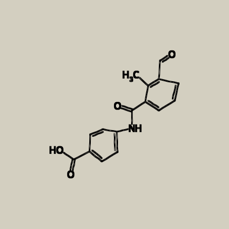 Cc1c(C=O)cccc1C(=O)Nc1ccc(C(=O)O)cc1